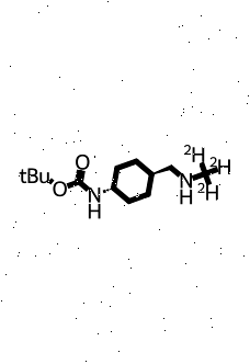 [2H]C([2H])([2H])NC[C@H]1CC[C@H](NC(=O)OC(C)(C)C)CC1